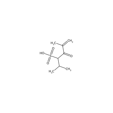 C=C(C)C(=O)C(C(C)C)S(=O)(=O)O